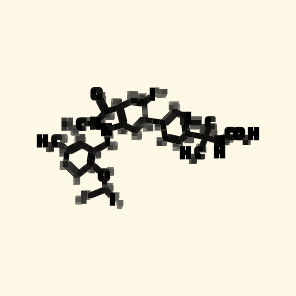 Cc1ccc(OC(F)F)c(Cn2c3cc(-c4ccc(C(C)(C)NC(=O)O)nc4)c(F)cc3c(=O)n2C)c1